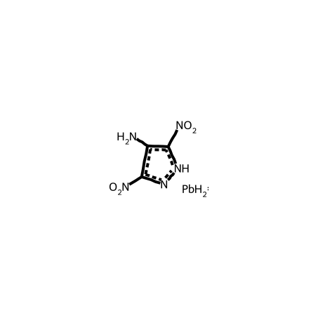 Nc1c([N+](=O)[O-])n[nH]c1[N+](=O)[O-].[PbH2]